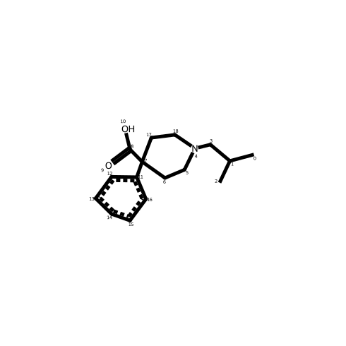 CC(C)CN1CCC(C(=O)O)(c2ccccc2)CC1